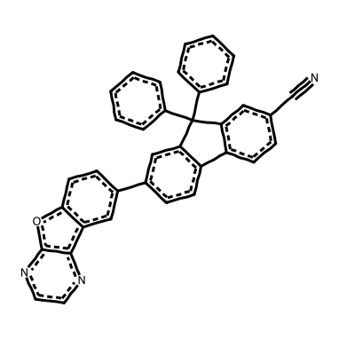 N#Cc1ccc2c(c1)C(c1ccccc1)(c1ccccc1)c1cc(-c3ccc4oc5nccnc5c4c3)ccc1-2